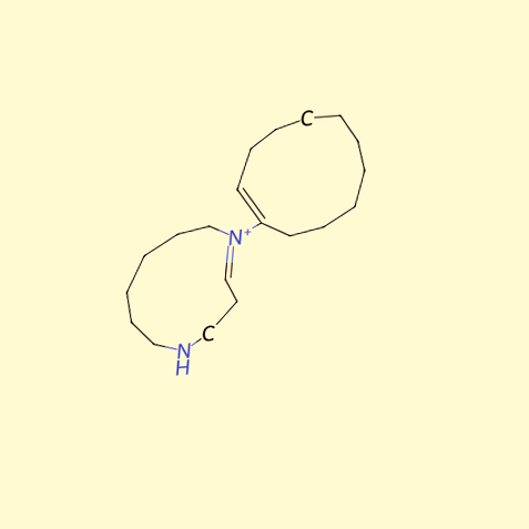 C1=[N+](\C2=C\CCCCCCCCC2)CCCCCCNCC/1